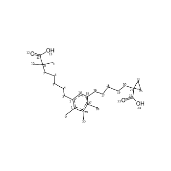 Cc1c(CCCCCC(C)(C)C(=O)O)cc(CCCCCC2(C(=O)O)CC2)c(C)c1C